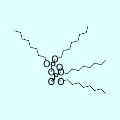 CCCCCCCCOP(=O)(OCCCCCCCC)OP(=O)(OCCCCCCCC)OCCCCCCCC